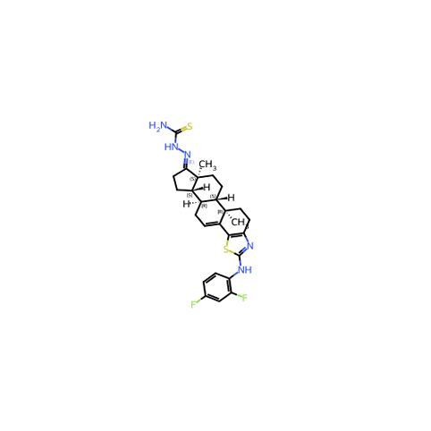 C[C@]12CCc3nc(Nc4ccc(F)cc4F)sc3C1=CC[C@@H]1[C@@H]2CC[C@]2(C)/C(=N/NC(N)=S)CC[C@@H]12